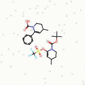 CC1C=C(OS(=O)(=O)C(F)(F)F)N(C(=O)OC(C)(C)C)CC1.CC1C=C(c2ccccc2)N(C(=O)O)CC1